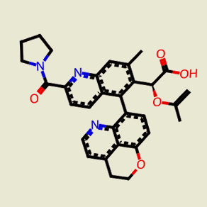 C=C(C)O[C@H](C(=O)O)c1c(C)cc2nc(C(=O)N3CCCC3)ccc2c1-c1ccc2c3c(ccnc13)CCO2